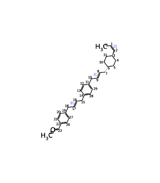 C/C=C\[C@H]1CC[C@H](C/C=C/Cc2ccc(C/C=C/Cc3ccc(COC)cc3)cc2)CC1